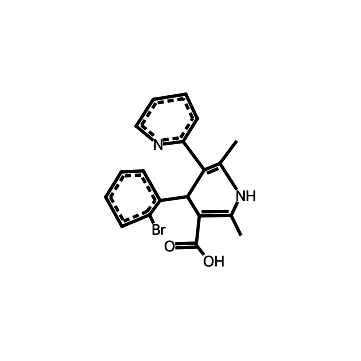 CC1=C(C(=O)O)C(c2ccccc2Br)C(c2ccccn2)=C(C)N1